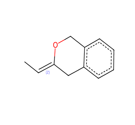 C/C=C1/Cc2ccccc2CO1